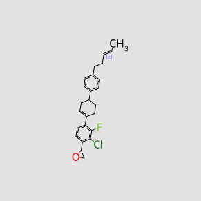 C/C=C/CCc1ccc(C2CC=C(c3ccc(C4CO4)c(Cl)c3F)CC2)cc1